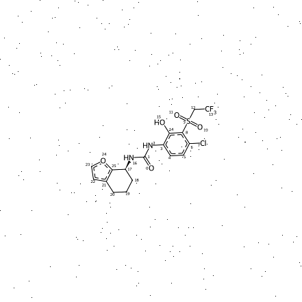 O=C(Nc1ccc(Cl)c(S(=O)(=O)CC(F)(F)F)c1O)N[C@H]1CCCc2ccoc21